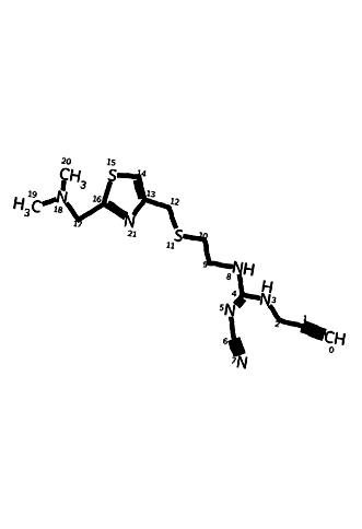 C#CCNC(=NC#N)NCCSCc1csc(CN(C)C)n1